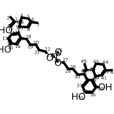 C=C(C)[C@H]1CCC(C)=C[C@@H]1c1c(O)cc(O)cc1CCCCCO[N+](=O)OCCCCCc1cc(O)cc(O)c1[C@H]1C=C(C)CC[C@@H]1C(=C)C